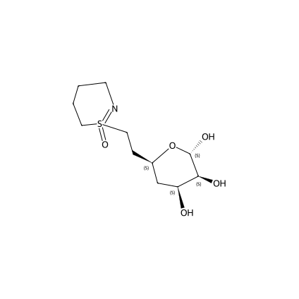 O=S1(CC[C@@H]2C[C@H](O)[C@H](O)[C@@H](O)O2)=NCCCC1